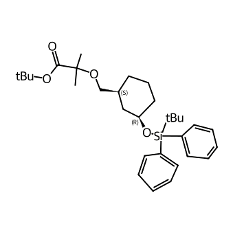 CC(C)(C)OC(=O)C(C)(C)OC[C@H]1CCC[C@@H](O[Si](c2ccccc2)(c2ccccc2)C(C)(C)C)C1